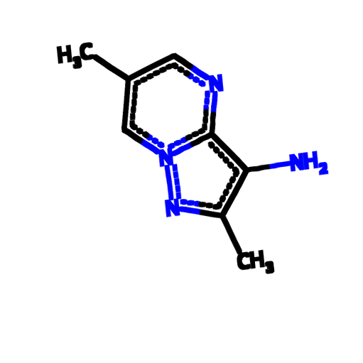 Cc1cnc2c(N)c(C)nn2c1